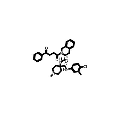 Cc1cc(NC(=O)C2(NC(=O)[C@@H]3Cc4ccccc4CN3C(=O)CCC(=O)c3ccccc3)CCN(C)CC2)ccc1Cl